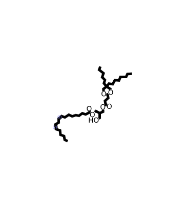 CCCCC/C=C\C/C=C\CCCCCCCC(=O)OCC(CO)COC(=O)CCC1OCC(CCCCCC)(CCCCCCCC)CO1